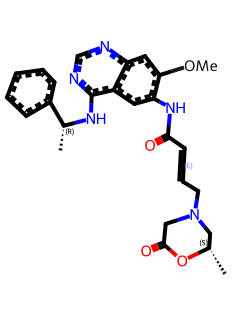 COc1cc2ncnc(N[C@H](C)c3ccccc3)c2cc1NC(=O)/C=C/CN1CC(=O)O[C@@H](C)C1